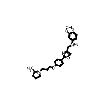 COc1cccc(NCc2coc(-c3ccc(OCCCN4CCCC4C)cc3)n2)c1